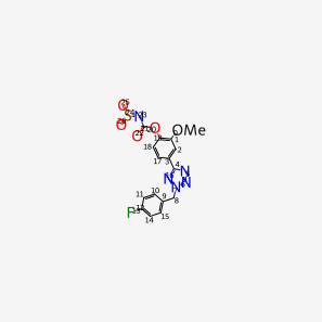 COc1cc(-c2nnn(Cc3ccc(F)cc3)n2)ccc1OC(=O)N=S(=O)=O